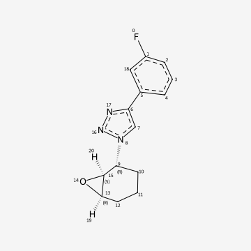 Fc1cccc(-c2cn([C@@H]3CCC[C@H]4O[C@@H]34)nn2)c1